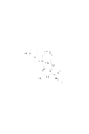 C[C@H]1C[C@@H](CO)O[C@H]1n1cnc2c(N(C)C)nc(N)nc21